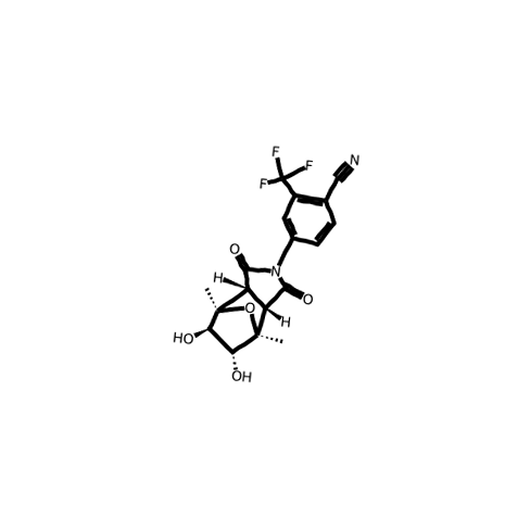 C[C@]12O[C@](C)([C@H](O)[C@H]1O)[C@H]1C(=O)N(c3ccc(C#N)c(C(F)(F)F)c3)C(=O)[C@H]12